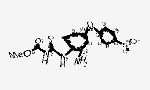 COC(=O)NC(=S)Nc1ccc(Oc2ccc([S+](C)[O-])cc2)cc1N